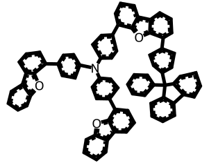 c1ccc(C2(c3ccc(-c4cccc5c4oc4c(-c6ccc(N(c7ccc(-c8cccc9c8oc8ccccc89)cc7)c7ccc(-c8cccc9c8oc8ccccc89)cc7)cc6)cccc45)cc3)c3ccccc3-c3ccccc32)cc1